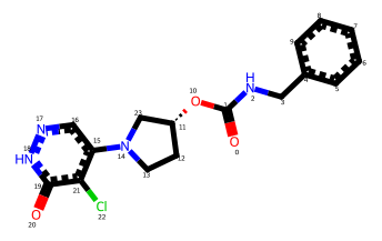 O=C(NCc1ccccc1)O[C@@H]1CCN(c2cn[nH]c(=O)c2Cl)C1